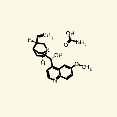 C=C[C@@H]1CN2CCC1C[C@@H]2[C@H](O)c1ccnc2ccc(OC)cc12.NC(=O)O